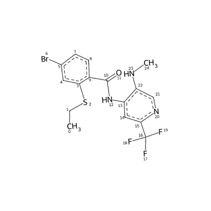 CCSc1cc(Br)ccc1C(=O)Nc1cc(C(F)(F)F)ncc1NC